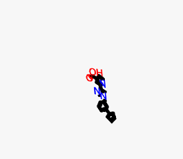 O=C(O)c1ccnc(-c2cn(Cc3cccc(C4=CC=CC4)c3)cn2)c1